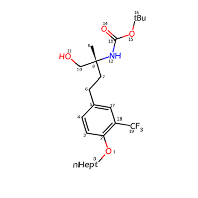 CCCCCCCOc1ccc(CC[C@](C)(CO)NC(=O)OC(C)(C)C)cc1C(F)(F)F